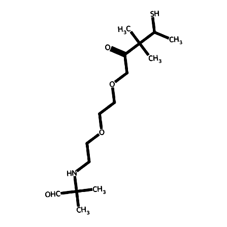 CC(S)C(C)(C)C(=O)COCCOCCNC(C)(C)C=O